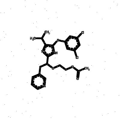 CC(=O)OCCOC(Cc1cccnc1)c1nc(C(C)C)c(Sc2cc(Cl)cc(Cl)c2)[nH]1